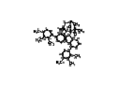 Cc1ccc(-c2cccc3c2C=C(CC(C)C)[CH]3[Zr]([Cl])([Cl])([CH]2C(CC(C)C)=Cc3c(-c4ccc(C)c(C)c4C)cccc32)[SiH](C)C)c(C)c1C